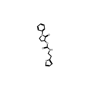 O=C(NCCc1cccs1)OC1CCN(c2ccccc2)C1=O